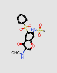 CS(=O)(=O)Nc1cc2occ(NC=O)c(=O)c2cc1S(=O)(=O)c1ccccc1